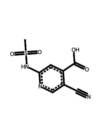 CS(=O)(=O)Nc1cc(C(=O)O)c(C#N)cn1